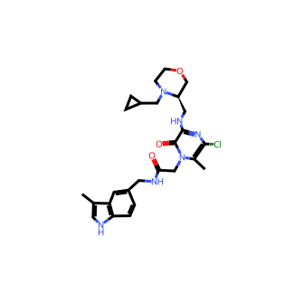 Cc1c[nH]c2ccc(CNC(=O)Cn3c(C)c(Cl)nc(NC[C@@H]4COCCN4CC4CC4)c3=O)cc12